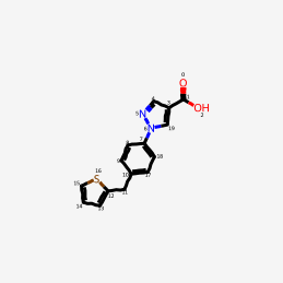 O=C(O)c1cnn(-c2ccc(Cc3cccs3)cc2)c1